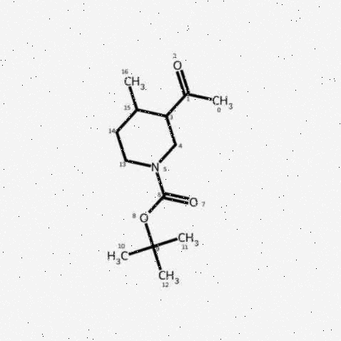 CC(=O)C1CN(C(=O)OC(C)(C)C)CCC1C